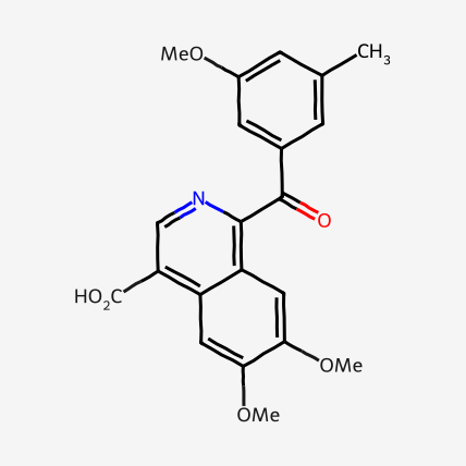 COc1cc(C)cc(C(=O)c2ncc(C(=O)O)c3cc(OC)c(OC)cc23)c1